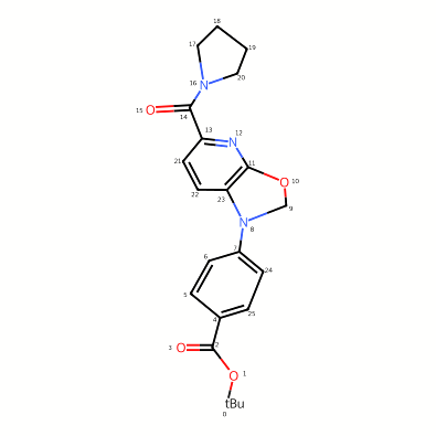 CC(C)(C)OC(=O)c1ccc(N2COc3nc(C(=O)N4CCCC4)ccc32)cc1